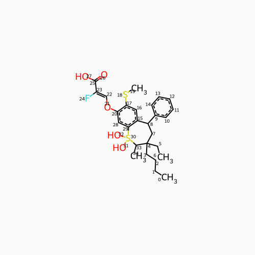 CCCCC1(CC)CC(c2ccccc2)c2cc(SC)c(OC=C(F)C(=O)O)cc2S(O)(O)C1C